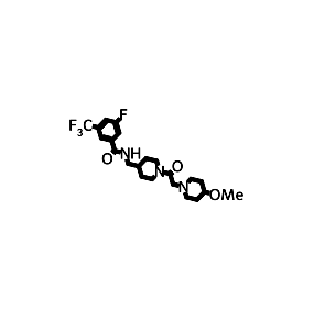 COC1CCN(CC(=O)N2CCC(CNC(=O)c3cc(F)cc(C(F)(F)F)c3)CC2)CC1